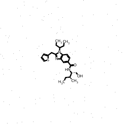 CCC(CC)n1c(Cc2cccs2)nc2cc(C(=O)N[C@H](CO)[C@@H](C)CC)ccc21